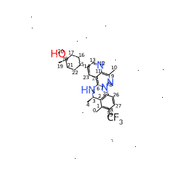 Cc1c([C@@H](C)Nc2nnc(C)c3ncc([C@H]4CC[C@@](C)(O)CC4)cc23)cccc1C(F)(F)F